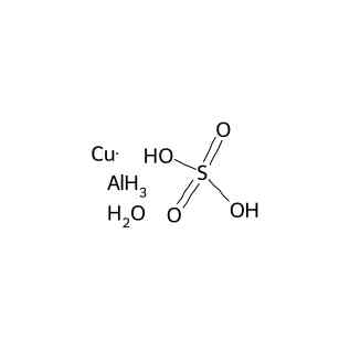 O.O=S(=O)(O)O.[AlH3].[Cu]